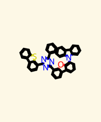 c1ccc(-c2nc(-c3cccc4c3oc3c(-n5c6ccccc6c6ccccc65)cccc34)nc(-c3cccc4c3sc3ccccc34)n2)cc1